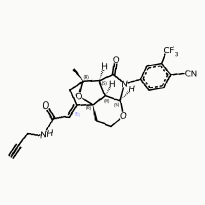 C#CCNC(=O)/C=C1\C[C@@]2(C)O[C@@]13CCO[C@H]1[C@@H]3[C@@H]2C(=O)N1c1ccc(C#N)c(C(F)(F)F)c1